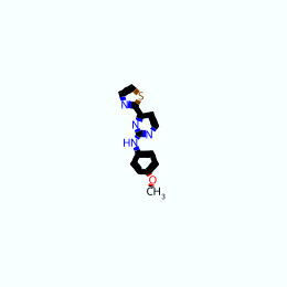 COc1ccc(Nc2nccc(-c3nccs3)n2)cc1